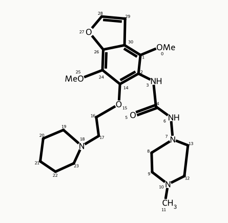 COc1c(NC(=O)NN2CCN(C)CC2)c(OCCN2CCCCC2)c(OC)c2occc12